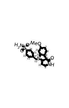 COc1ccc2c3c(=O)[nH]ccc3n(Cc3ccc(S(N)(=O)=O)cc3)c2c1